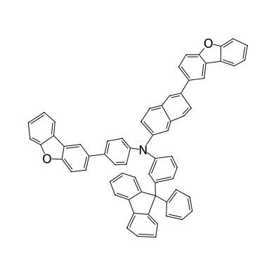 c1ccc(C2(c3cccc(N(c4ccc(-c5ccc6oc7ccccc7c6c5)cc4)c4ccc5cc(-c6ccc7oc8ccccc8c7c6)ccc5c4)c3)c3ccccc3-c3ccccc32)cc1